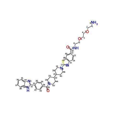 NCCOCCOCCNC(=O)c1ccc2nc(N3CCC(C4CCN(C(=O)c5ccc(-c6nc7ccccc7[nH]6)cc5)CC4)CC3)sc2c1